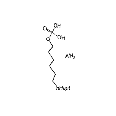 CCCCCCCCCCCCCOP(=O)(O)O.[AlH3]